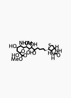 COC(=O)C1(O)C[C@H](O)[C@@H](NC(C)=O)[C@H]([C@H](O)[C@H](O)C(O)C(=O)CCCC[C@@H]2SC[C@@H]3NC(=O)N[C@@H]32)O1